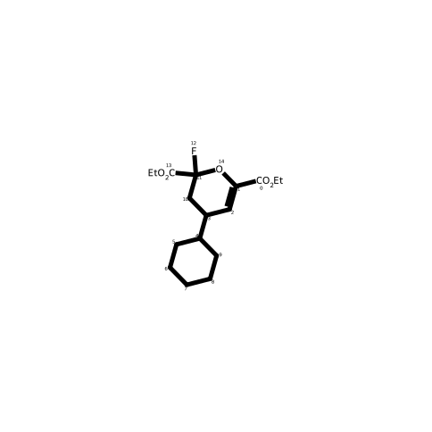 CCOC(=O)C1=CC(C2CCCCC2)CC(F)(C(=O)OCC)O1